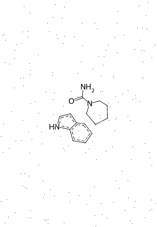 NC(=O)N1CCCCC1.c1ccc2[nH]ccc2c1